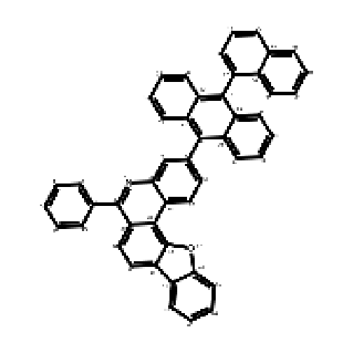 c1ccc(-c2nc3cc(-c4c5ccccc5c(-c5cccc6ccccc56)c5ccccc45)ccc3c3c2ccc2c4ccccc4oc23)cc1